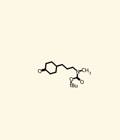 CN(CCCC1CCC(=O)CC1)C(=O)OC(C)(C)C